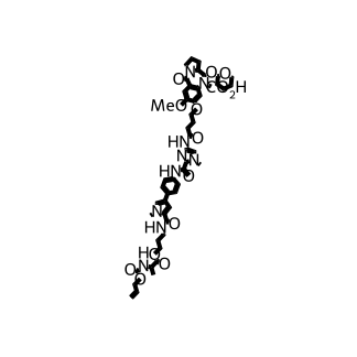 C=CCOC(=O)NC(C)C(=O)OCCCNC(=O)c1cc(-c2ccc(NC(=O)c3nc(NC(=O)CCCOc4cc5c(cc4OC)C(=O)N4CCCC4C(OC4CCCCO4)N5C(=O)O)cn3C)cc2)cn1C